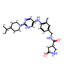 Cc1cc(CNC(=O)C2CNC(=O)C2)ccc1Nc1cnc(N2CCC(C(C)C)CC2)nc1